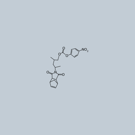 CC(COC(=O)Oc1ccc([N+](=O)[O-])cc1)CC(C)N1C(=O)C2C3C=CC(C3)C2C1=O